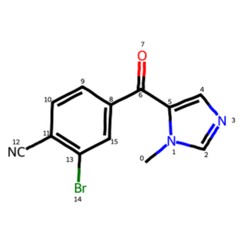 Cn1cncc1C(=O)c1ccc(C#N)c(Br)c1